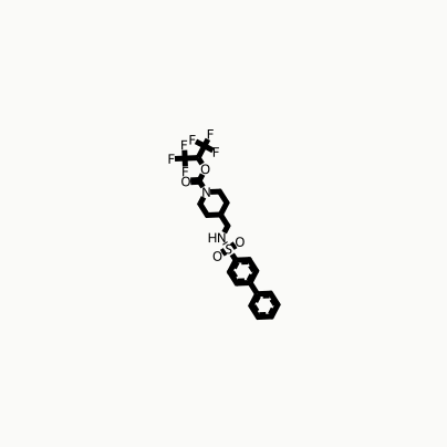 O=C(OC(C(F)(F)F)C(F)(F)F)N1CCC(CNS(=O)(=O)c2ccc(-c3ccccc3)cc2)CC1